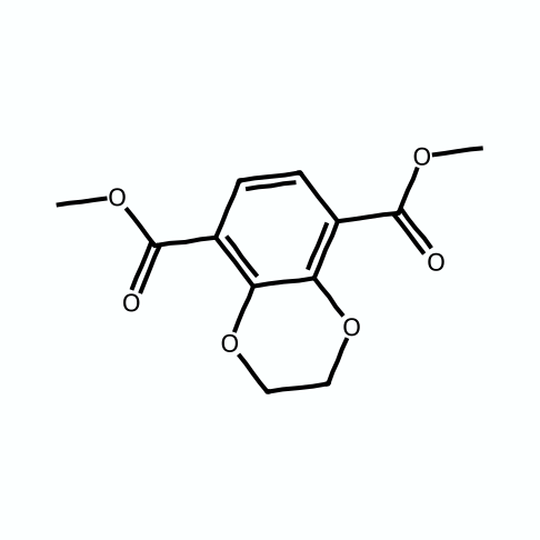 COC(=O)c1ccc(C(=O)OC)c2c1OCCO2